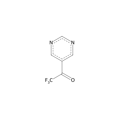 O=C(c1cncnc1)C(F)(F)F